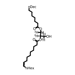 [2H]C([2H])(O)[C@]([2H])(OC(=O)CCCCCCC/C=C\CCCCCC)C([2H])([2H])OC(=O)CCCCCCCCCCCCCCCC